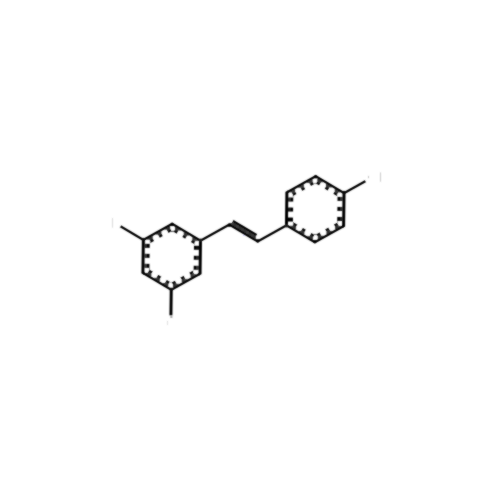 Oc1ccc(/C=C/c2cc(F)cc(Cl)c2)cc1